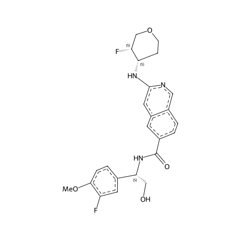 COc1ccc([C@@H](CO)NC(=O)c2ccc3cnc(N[C@H]4CCOC[C@H]4F)cc3c2)cc1F